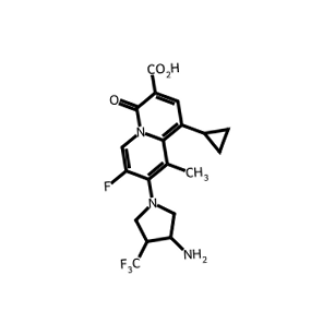 Cc1c(N2CC(N)C(C(F)(F)F)C2)c(F)cn2c(=O)c(C(=O)O)cc(C3CC3)c12